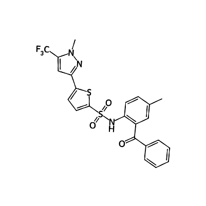 Cc1ccc(NS(=O)(=O)c2ccc(-c3cc(C(F)(F)F)n(C)n3)s2)c(C(=O)c2ccccc2)c1